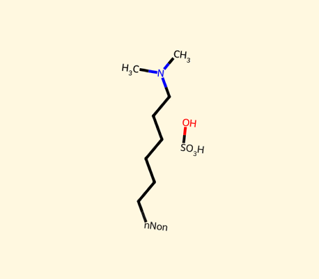 CCCCCCCCCCCCCCCN(C)C.O=S(=O)(O)O